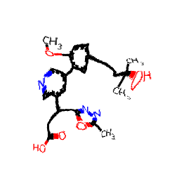 COc1ccc(CCC(C)(C)O)cc1-c1cncc(C(CC(=O)O)c2nnc(C)o2)c1